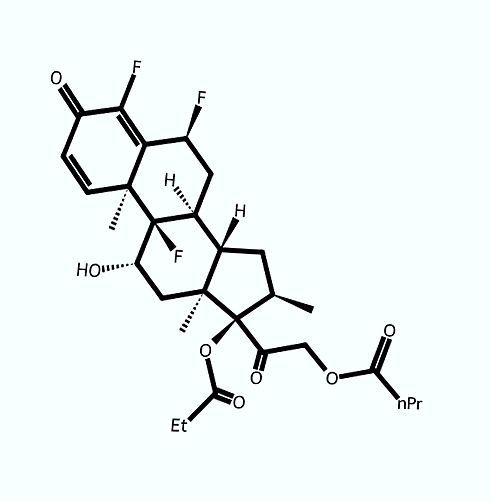 CCCC(=O)OCC(=O)[C@@]1(OC(=O)CC)[C@H](C)C[C@H]2[C@@H]3C[C@H](F)C4=C(F)C(=O)C=C[C@]4(C)[C@@]3(F)[C@@H](O)C[C@@]21C